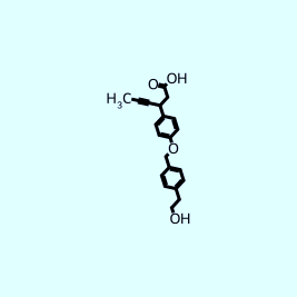 CC#CC(CC(=O)O)c1ccc(OCc2ccc(CCO)cc2)cc1